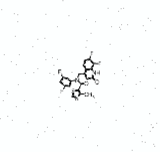 Cc1ncsc1C(=O)N(Cc1cc(=O)[nH]c2c(F)c(F)ccc12)c1cc(F)cc(F)c1